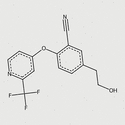 N#Cc1cc(CCO)ccc1Oc1ccnc(C(F)(F)F)c1